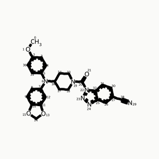 COc1ccc(N(c2ccc3c(c2)OCO3)C2CCN(C(=O)n3nnc4cc(C#N)ccc43)CC2)cc1